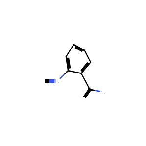 C=Nc1ccccc1C(=C)N